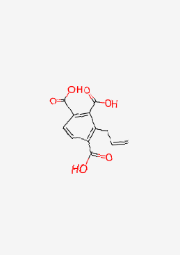 C=CCc1c(C(=O)O)ccc(C(=O)O)c1C(=O)O